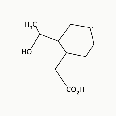 CC(O)C1C[CH]CCC1CC(=O)O